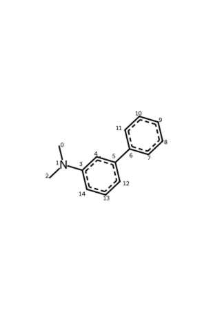 CN(C)c1[c]c(-c2ccccc2)ccc1